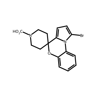 O=C(O)N1CCC2(CC1)Oc1ccccc1-n1c(Br)ccc12